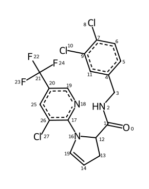 O=C(NCc1ccc(Cl)c(Cl)c1)C1CC=CN1c1ncc(C(F)(F)F)cc1Cl